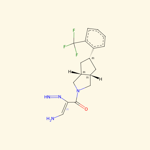 N=N/C(=C\N)C(=O)N1C[C@H]2C[C@@H](c3ccccc3C(F)(F)F)C[C@H]2C1